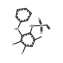 C=CS(=O)(=O)Nc1c(C)cc(F)c(F)c1Nc1ccccc1